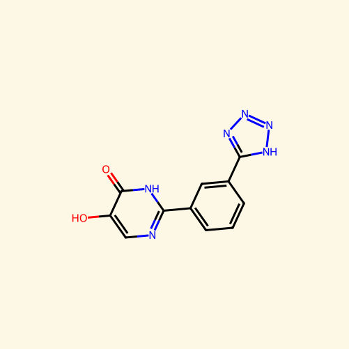 O=c1[nH]c(-c2cccc(-c3nnn[nH]3)c2)ncc1O